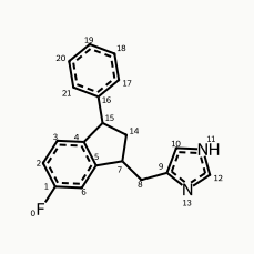 Fc1ccc2c(c1)C(Cc1c[nH]cn1)CC2c1ccccc1